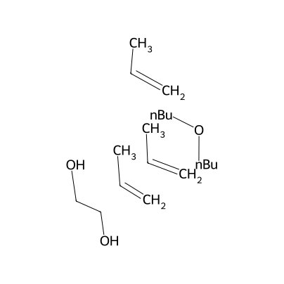 C=CC.C=CC.C=CC.CCCCOCCCC.OCCO